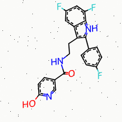 O=C(NCCc1c(-c2ccc(F)cc2)[nH]c2c(F)cc(F)cc12)c1ccc(O)nc1